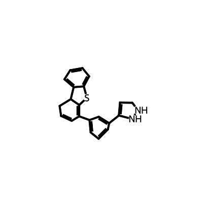 C1=CC(c2cccc(C3=CCNN3)c2)=C2Sc3ccccc3C2C1